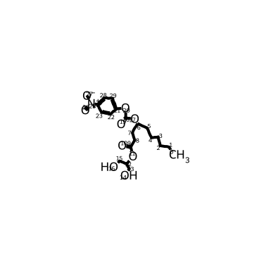 CCCCCCC(CCC(=O)OC(CO)CO)OC(=O)Oc1ccc([N+](=O)[O-])cc1